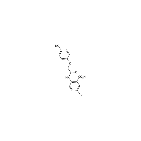 N#Cc1ccc(OCC(=O)Nc2ccc(Br)cc2C(=O)O)cc1